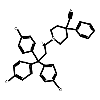 N#CC1(c2ccccc2)CCN(C(=O)CC(c2ccc(Cl)cc2)(c2ccc(Cl)cc2)c2ccc(Cl)cc2)CC1